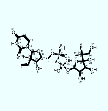 C=C[C@@]1(F)[C@H](O)[C@@H](COP(=O)(S)OP(=O)(O)OC2OC(O)([C@](C)(F)CO)C(O)C2O)O[C@H]1n1ccc(=O)[nH]c1=O